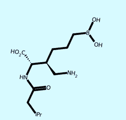 CC(C)CC(=O)N[C@H](C(=O)O)[C@H](CN)CCCB(O)O